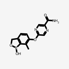 Cc1c(Oc2cnc(C(N)=O)cn2)ccc2c1B(O)OC2